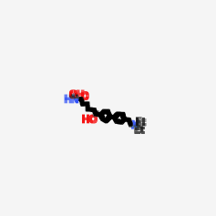 CCN(CC)CCc1ccc(-c2ccc([C@H](O)CCCCC(=O)NO)cc2)cc1